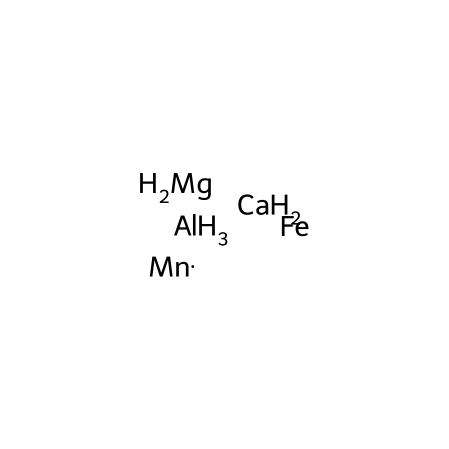 [AlH3].[CaH2].[Fe].[MgH2].[Mn]